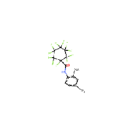 O=C(Nc1ccc(C(F)(F)F)cc1[N+](=O)[O-])C1(F)C(F)(F)C(F)(F)C(F)(F)C(F)(F)C1(F)F